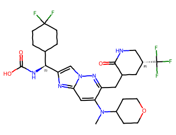 CN(c1cc2nc([C@@H](NC(=O)O)C3CCC(F)(F)CC3)cn2nc1CC1C[C@@H](C(F)(F)F)CNC1=O)C1CCOCC1